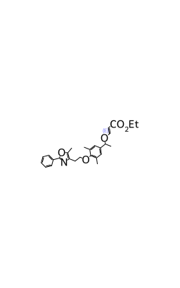 CCOC(=O)/C=C/OC(C)c1cc(C)c(OCCc2nc(-c3ccccc3)oc2C)c(C)c1